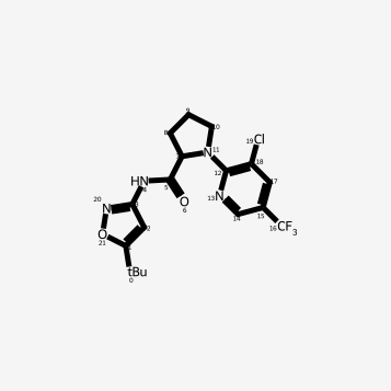 CC(C)(C)c1cc(NC(=O)C2CCCN2c2ncc(C(F)(F)F)cc2Cl)no1